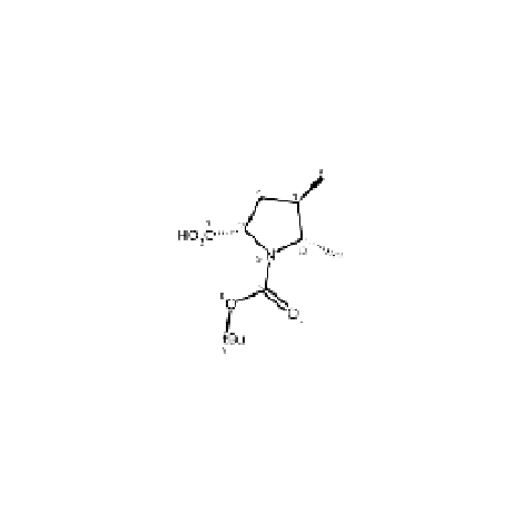 C[C@@H]1C[C@@H](C(=O)O)N(C(=O)OC(C)(C)C)[C@H]1C